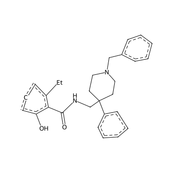 CCc1cccc(O)c1C(=O)NCC1(c2ccccc2)CCN(Cc2ccccc2)CC1